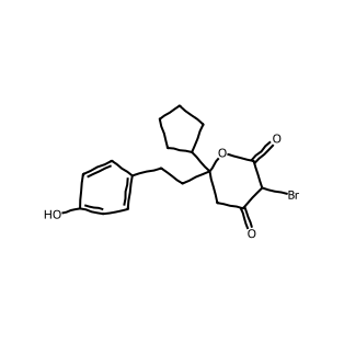 O=C1CC(CCc2ccc(O)cc2)(C2CCCC2)OC(=O)C1Br